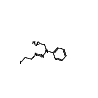 CCN(N=NCCI)c1ccccc1